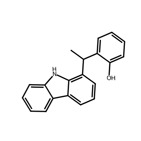 CC(c1ccccc1O)c1cccc2c1[nH]c1ccccc12